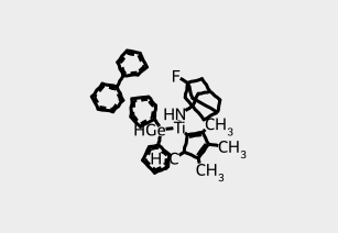 CC1=C(C)C(C)[C]([Ti]([NH]C23CC4CC(CC(F)(C4)C2)C3)[GeH]([c]2ccccc2)[c]2ccccc2)=C1C.c1ccc(-c2ccccc2)cc1